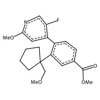 COCC1(c2cc(C(=O)OC)ccc2-c2cc(OC)ncc2F)CCCC1